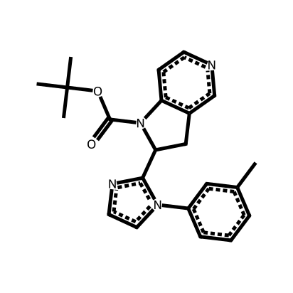 Cc1cccc(-n2ccnc2C2Cc3cnccc3N2C(=O)OC(C)(C)C)c1